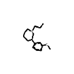 CCCN1CCCCC(c2cccc(OC)c2)C1